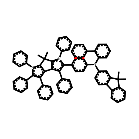 CC1(C)c2ccccc2-c2ccc(N(c3ccc(-c4c(-c5ccccc5)c5c(n4-c4ccccc4)C(C)(C)c4c-5c(-c5ccccc5)c(-c5ccccc5)n4-c4ccccc4)cc3)c3ccccc3-c3ccccc3)cc21